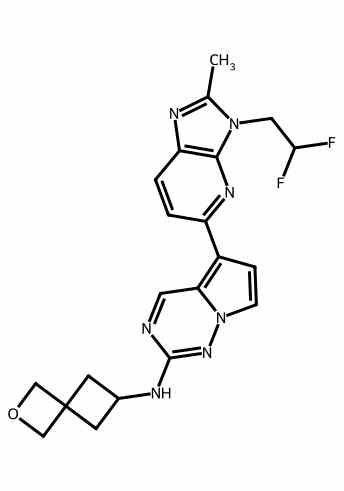 Cc1nc2ccc(-c3ccn4nc(NC5CC6(COC6)C5)ncc34)nc2n1CC(F)F